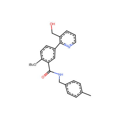 Cc1ccc(CNC(=O)c2cc(-c3ncccc3CO)ccc2OCC(C)C)cc1